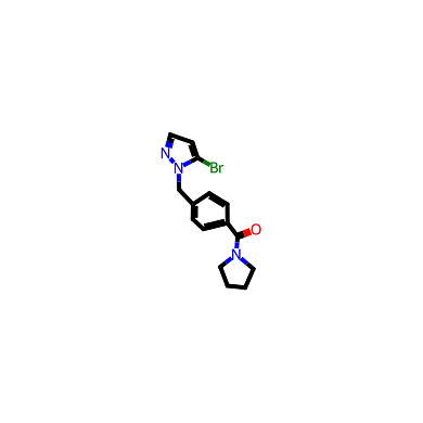 O=C(c1ccc(Cn2nccc2Br)cc1)N1CCCC1